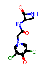 O=C(Cn1cc(Cl)c(=O)c(Cl)c1)NC1CNC1=O